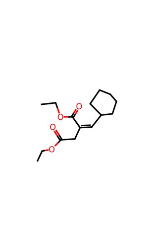 CCOC(=O)CC(=CC1CCCCC1)C(=O)OCC